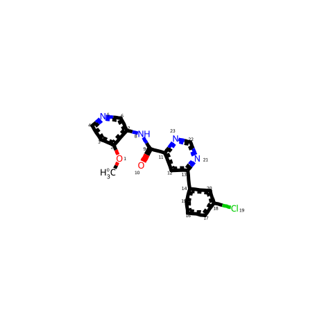 COc1ccncc1NC(=O)c1cc(-c2cccc(Cl)c2)ncn1